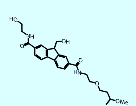 COC(C)CCOCCNC(=O)c1ccc2c(c1)C(CO)c1cc(C(=O)NCCO)ccc1-2